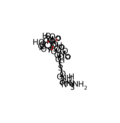 CC(=O)O[C@H]1C(=O)[C@@]2(C)[C@H]([C@H](OC(=O)c3ccccc3)[C@]3(O)C[C@H](OC(=O)[C@H](OC(=O)OCCSSCCOC(=O)Nc4cccnc4/C=N/NC(N)=S)[C@@H](NC(=O)c4ccccc4)c4ccccc4)C(C)=C1C3(C)C)[C@]1(OC(C)=O)CO[C@@H]1C[C@@H]2O